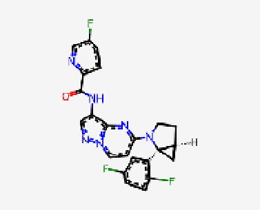 O=C(Nc1cnn2ccc(N3CC[C@H]4C[C@]43c3cc(F)ccc3F)nc12)c1ccc(F)cn1